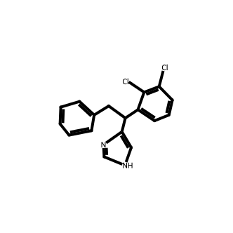 Clc1cccc(C(Cc2ccccc2)c2c[nH]cn2)c1Cl